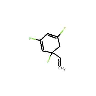 C=CC1(F)C=C(F)C=C(F)C1